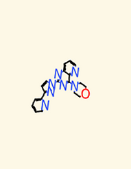 c1ccc(-c2ccn(-c3nc(N4CCOCC4)c4ncccc4n3)n2)nc1